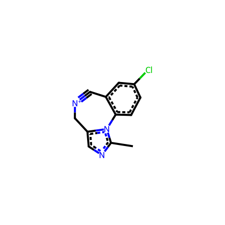 Cc1ncc2n1-c1ccc(Cl)cc1C#[N+]C2